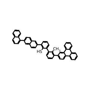 Cc1c(-c2ccc3c4ccccc4c4ccccc4c3c2)cccc1-c1cccc(-c2ccc3cc(-c4cccc5ccccc45)ccc3c2)c1S